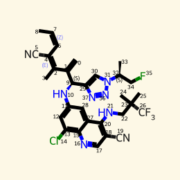 C=C(/C(C)=C(C#N)\C=C/C)[C@H](Nc1cc(Cl)c2ncc(C#N)c(NCC(C)(C)C(F)(F)F)c2c1)c1cn([C@@H](C)CF)nn1